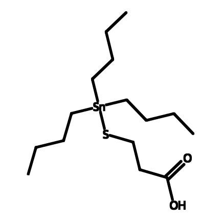 CCC[CH2][Sn]([CH2]CCC)([CH2]CCC)[S]CCC(=O)O